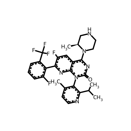 Cc1ccnc(C(C)C)c1-n1c(=O)nc(N2CCNC[C@@H]2C)c2cc(F)c(-c3c(F)cccc3C(F)(F)F)nc21